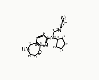 [N-]=[N+]=NCN(c1ccc2c(n1)OCCNC2)C1CCCC1